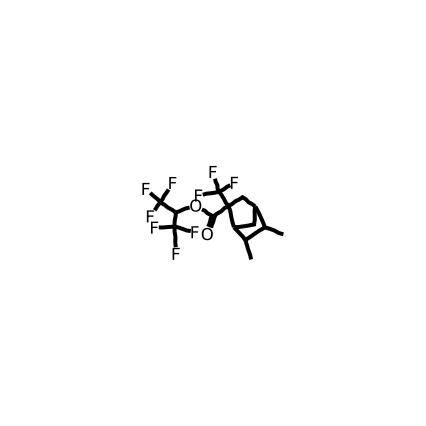 CC1C2CC(C1C)C(C(=O)OC(C(F)(F)F)C(F)(F)F)(C(F)(F)F)C2